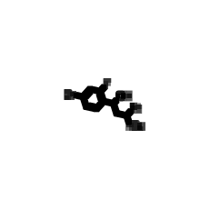 CCCCC(CC)CC(O)c1ccc(Br)cc1F